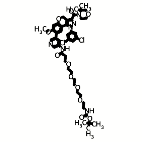 COc1cc2c(cc1-c1cncc(NC(=O)CCOCCOCCOCCOCCNC(=O)OC(C)(C)C)c1)-c1c(c(C(=O)N3CCOCC3(C)C)nn1-c1cc(Cl)cc(Cl)c1)CO2